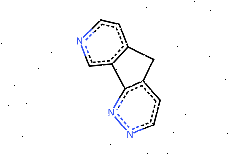 c1cc2c(cn1)-c1nnccc1C2